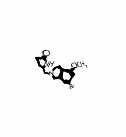 COc1cc(Br)cc2c1CCN(CC1CCC(=O)N1)C2